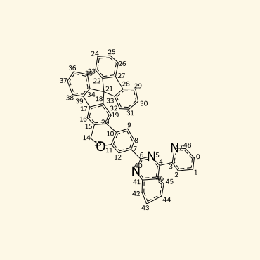 c1ccc(-c2nc(-c3ccc4c(c3)OCc3cc5c(cc3-4)C3(c4ccccc4-c4ccccc43)c3ccccc3-5)nc3ccccc23)nc1